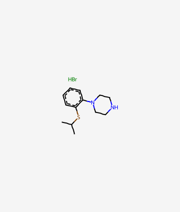 Br.CC(C)Sc1ccccc1N1CCNCC1